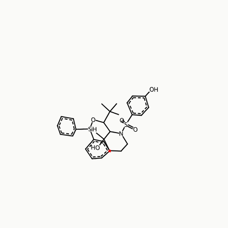 CC(C)(C)C(O[SiH](c1ccccc1)c1ccccc1)C1N(S(=O)(=O)c2ccc(O)cc2)CCCC1(C)O